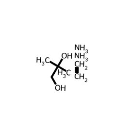 C=C.CC(C)(O)CO.N.N